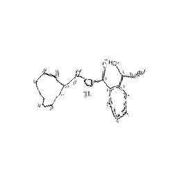 CCCCC(O)c1ccccc1C(=O)ONC1CCCCCC1